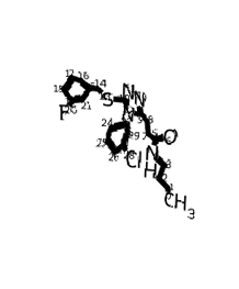 CCCCNC(=O)CCc1nnc(SCc2cccc(F)c2)n1-c1cccc(Cl)c1